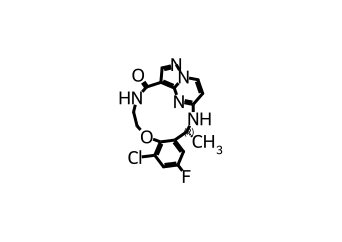 C[C@H]1Nc2ccn3ncc(c3n2)C(=O)NCCOc2c(Cl)cc(F)cc21